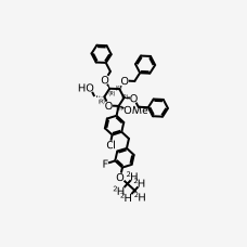 [2H]C([2H])([2H])C([2H])([2H])Oc1ccc(Cc2cc([C@]3(OC)O[C@H](CO)[C@@H](OCc4ccccc4)[C@H](OCc4ccccc4)[C@H]3OCc3ccccc3)ccc2Cl)cc1F